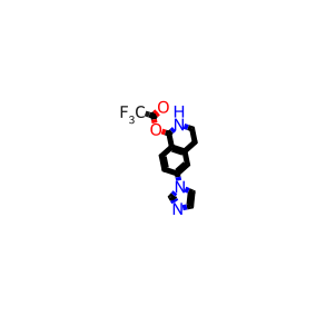 O=C(OC1NCCc2cc(-n3ccnc3)ccc21)C(F)(F)F